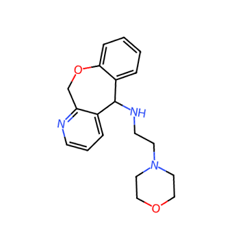 c1ccc2c(c1)OCc1ncccc1C2NCCN1CCOCC1